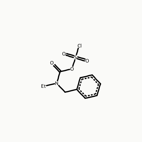 CCN(Cc1ccccc1)C(=O)OS(=O)(=O)Cl